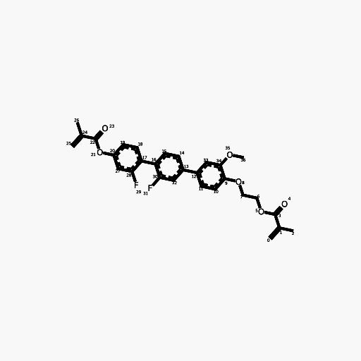 C=C(C)C(=O)OCCOc1ccc(-c2ccc(-c3ccc(OC(=O)C(=C)C)cc3F)c(F)c2)cc1OC